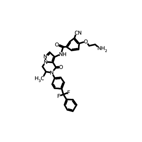 CC1Cn2ncc(NC(=O)c3ccc(OCCN)c(C#N)c3)c2C(=O)N1c1ccc(C(F)(F)c2ccccc2)cc1